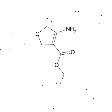 CCOC(=O)C1=C(N)COC1